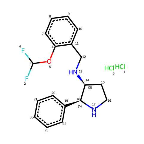 Cl.Cl.FC(F)Oc1ccccc1CN[C@H]1CCN[C@H]1c1ccccc1